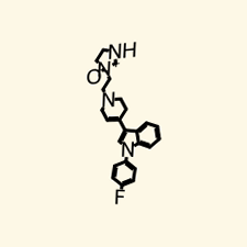 [O-][N+]1(CCN2CC=C(c3cn(-c4ccc(F)cc4)c4ccccc34)CC2)CCNC1